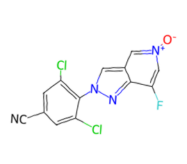 N#Cc1cc(Cl)c(-n2cc3c[n+]([O-])cc(F)c3n2)c(Cl)c1